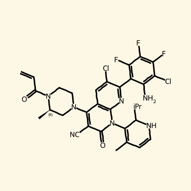 C=CC(=O)N1CCN(c2c(C#N)c(=O)n(C3=C(C)C=CNC3C(C)C)c3nc(-c4c(N)c(Cl)c(F)c(F)c4F)c(Cl)cc23)C[C@H]1C